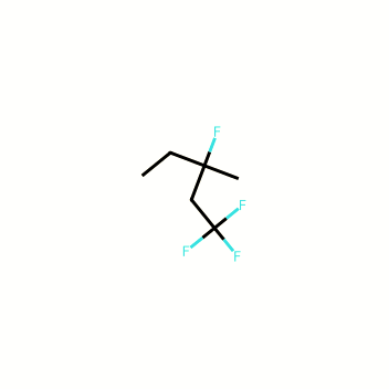 CCC(C)(F)CC(F)(F)F